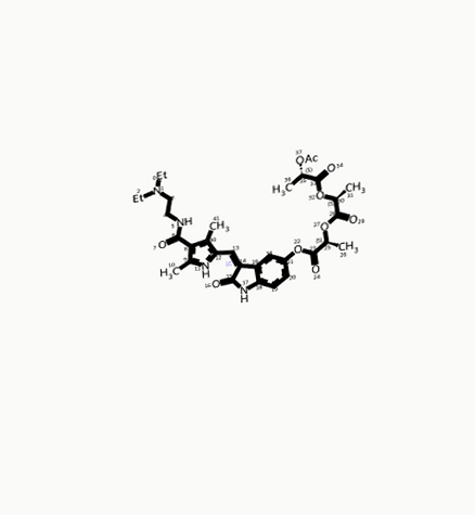 CCN(CC)CCNC(=O)c1c(C)[nH]c(/C=C2\C(=O)Nc3ccc(OC(=O)[C@H](C)OC(=O)[C@H](C)OC(=O)[C@H](C)OC(C)=O)cc32)c1C